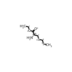 CCOC(=O)[C@@H](N)CSCSC